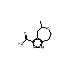 CC1Cc2c(C(=O)O)n[nH]c2CCO1